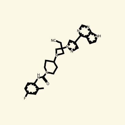 Cc1cc(F)ccc1NC(=O)N1CCC(N2CC(CC#N)(n3cc(-c4ncnc5[nH]ccc45)cn3)C2)CC1